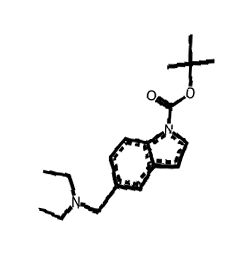 CCN(CC)Cc1ccc2c(ccn2C(=O)OC(C)(C)C)c1